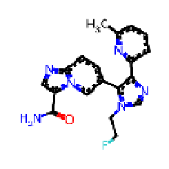 Cc1cccc(-c2ncn(CCF)c2-c2ccc3ncc(C(N)=O)n3c2)n1